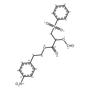 O=[C]OC(CS(=O)(=O)c1ccccc1)C(=O)OCCc1ccc([N+](=O)[O-])cc1